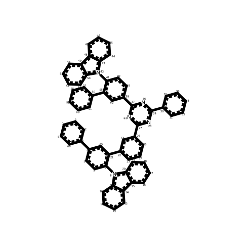 c1ccc(-c2ccc(-n3c4ccccc4c4ccccc43)c(-c3cccc(-c4nc(-c5ccccc5)nc(-c5ccc(-n6c7ccccc7c7ccccc76)c(-c6ccccc6)c5)n4)c3)c2)cc1